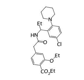 CCOC(=O)c1ccc(CC(=O)NC(CC)c2cc(Cl)ccc2N2CCCCC2)cc1OCC